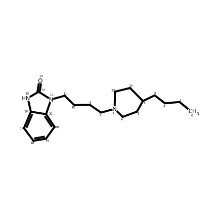 CCCCC1CCN(CCCCn2c(=O)[nH]c3ccccc32)CC1